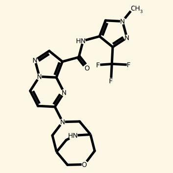 Cn1cc(NC(=O)c2cnn3ccc(N4CC5CNC(COC5)C4)nc23)c(C(F)(F)F)n1